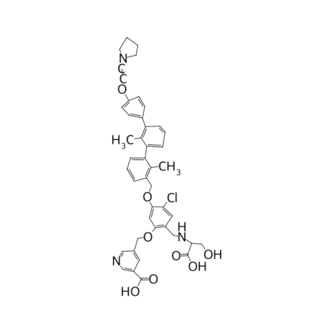 Cc1c(COc2cc(OCc3cncc(C(=O)O)c3)c(CNC(CO)C(=O)O)cc2Cl)cccc1-c1cccc(-c2ccc(OCCN3CCCC3)cc2)c1C